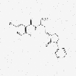 CCOC(=O)C(C/C=C1\CCN(c2ccccc2)C1=O)NC(=O)c1cc(Cl)ccc1I